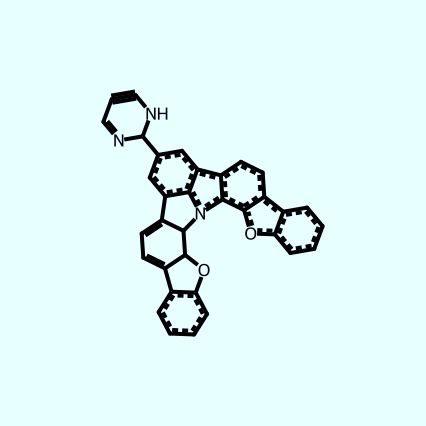 C1#CNC(c2cc3c4c(c2)c2ccc5c6ccccc6oc5c2n4C2C3=CC=C3c4ccccc4OC32)N=C1